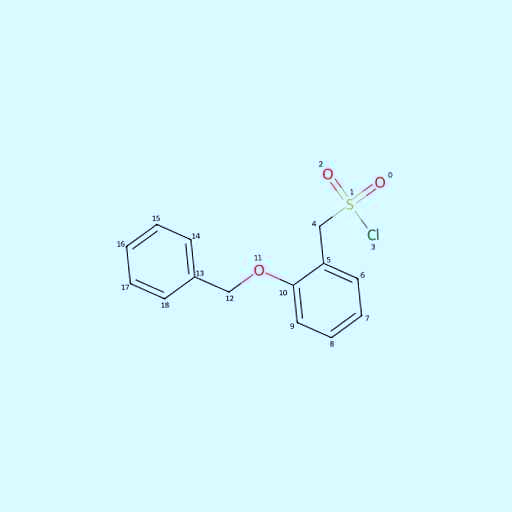 O=S(=O)(Cl)Cc1ccccc1OCc1ccccc1